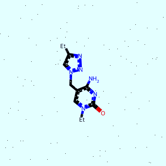 CCc1cn(Cc2cn(CC)c(=O)nc2N)nn1